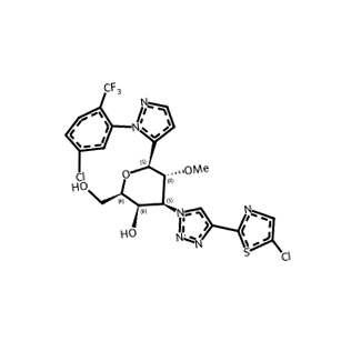 CO[C@@H]1[C@@H](n2cc(-c3ncc(Cl)s3)nn2)[C@@H](O)[C@@H](CO)O[C@H]1c1ccnn1-c1cc(Cl)ccc1C(F)(F)F